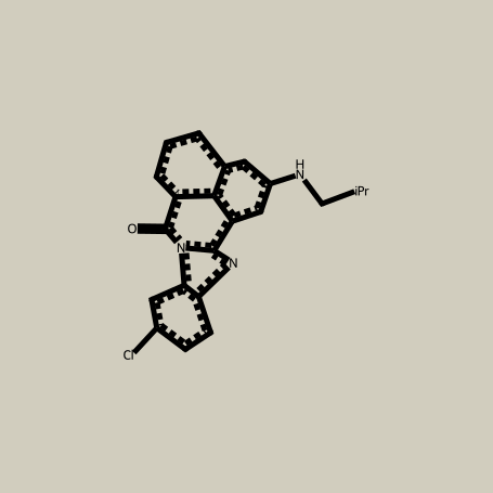 CC(C)CNc1cc2cccc3c(=O)n4c5cc(Cl)ccc5nc4c(c1)c23